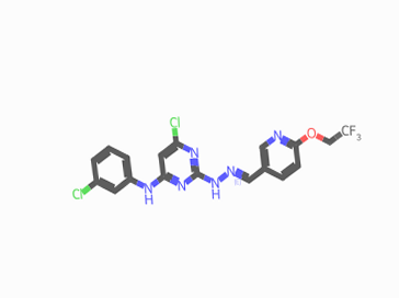 FC(F)(F)COc1ccc(/C=N/Nc2nc(Cl)cc(Nc3cccc(Cl)c3)n2)cn1